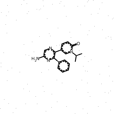 CC(C)n1cc(-c2ncc(N)nc2-c2ccccc2)ccc1=O